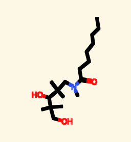 CCCCCCCC(=O)N(C)CC(C)(C)C(O)C(C)(C)CO